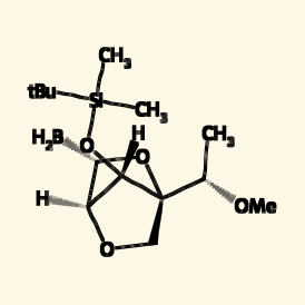 B[C@@H]1O[C@@]2([C@H](C)OC)CO[C@@H]1[C@@H]2O[Si](C)(C)C(C)(C)C